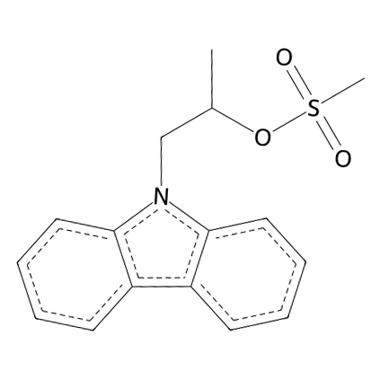 CC(Cn1c2ccccc2c2ccccc21)OS(C)(=O)=O